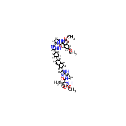 COC(=O)NC(C(=O)N1CCC[C@H]1c1ncc(-c2ccc3cc(-c4ccc(-c5cnc([C@@H]6CCCN6C(=O)[C@@H](NC(=O)OC)c6ccc(OC)cc6)[nH]5)cc4)ccc3c2)[nH]1)C(C)C